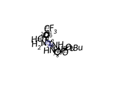 CC(/C=C(\N)N[C@@H]1CCCN(CC(=O)OC(C)(C)C)C1)=C(/N)c1ccc(C(F)(F)F)cc1O